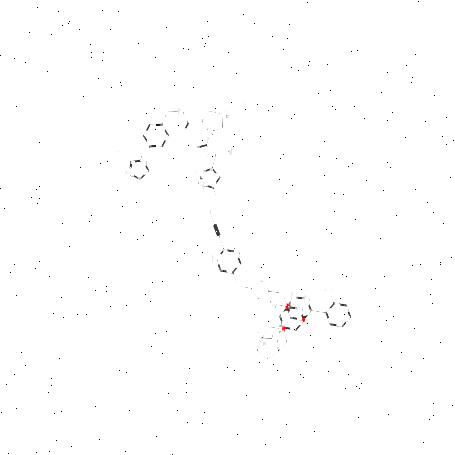 Cc1nccn1-c1ccc([C@H](C)NC(=O)[C@@H]2C[C@@H](O)CN2C(=O)[C@@H](c2cc(OCC#Cc3ncc(OC4CC(Oc5cc(N6C7CC[C@@H]6CN(c6cc(-c8ccccc8O)nnc6N)C7)ccn5)C4)cn3)no2)C(C)C)cc1